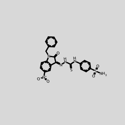 NS(=O)(=O)c1ccc(NC(=S)NN=C2C(=O)N(Cc3ccccc3)c3ccc([N+](=O)[O-])cc32)cc1